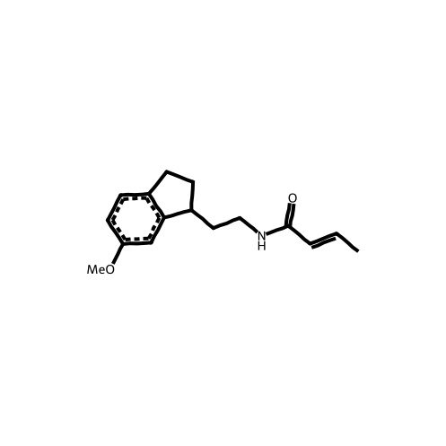 CC=CC(=O)NCCC1CCc2ccc(OC)cc21